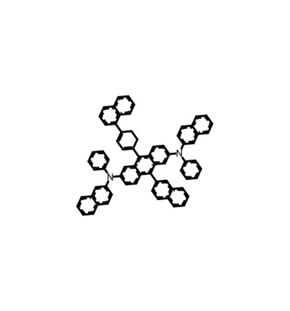 C1=C(c2cccc3ccccc23)CCC(c2c3cc(N(c4ccccc4)c4ccc5ccccc5c4)ccc3c(-c3ccc4ccccc4c3)c3cc(N(c4ccccc4)c4ccc5ccccc5c4)ccc23)=C1